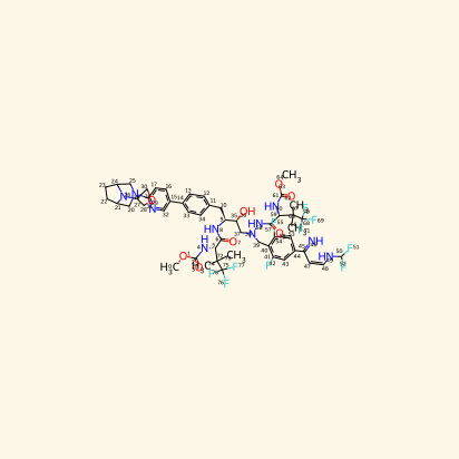 COC(=O)N[C@H](C(=O)N[C@@H](Cc1ccc(-c2ccc(N3CC4CCC(C3)N4C3COC3)nc2)cc1)[C@@H](O)CN(Cc1c(F)cc(C(=N)/C=C\NC(F)F)cc1F)NC(=O)[C@@H](NC(=O)OC)C(C)(C)C(F)(F)F)C(C)(C)C(F)(F)F